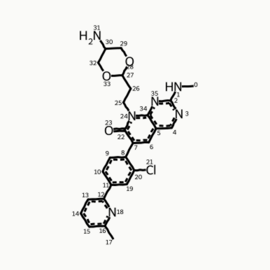 CNc1ncc2cc(-c3ccc(-c4cccc(C)n4)cc3Cl)c(=O)n(CCC3OCC(N)CO3)c2n1